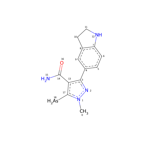 Cn1nc(-c2ccc3c(c2)CCN3)c(C(N)=O)c1[AsH2]